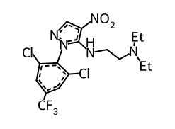 CCN(CC)CCNc1c([N+](=O)[O-])cnn1-c1c(Cl)cc(C(F)(F)F)cc1Cl